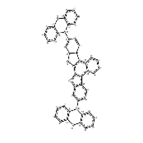 C1=CC2c3c(c4oc5cc(N6c7ccccc7Sc7ccccc76)ccc5c4c4ccccc34)OC2C=C1N1c2ccccc2Sc2ccccc21